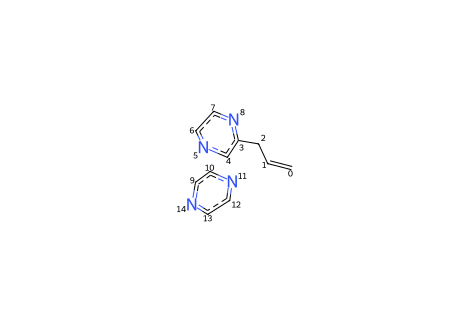 C=CCc1cnccn1.c1cnccn1